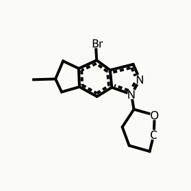 CC1Cc2cc3c(cnn3C3CCCCO3)c(Br)c2C1